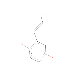 O=CC=Cc1cc(O)ccc1Br